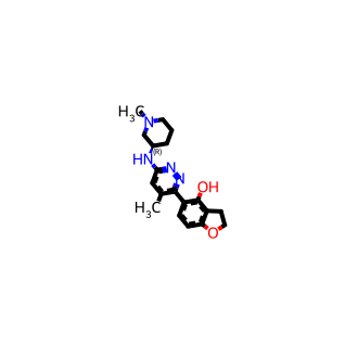 Cc1cc(N[C@@H]2CCCN(C)C2)nnc1-c1ccc2c(c1O)CCO2